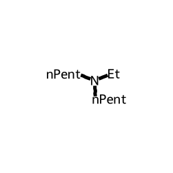 CCCCCN(CC)CCCCC